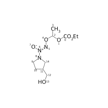 CCOC(=O)OC(C)ON=[N+]([O-])N1CCC(CO)C1